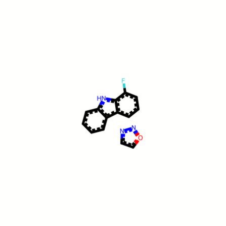 Fc1cccc2c1[nH]c1ccccc12.c1conn1